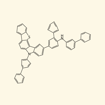 c1ccc(-c2ccc(-n3c4ccc(-c5ccc(Nc6cccc(-c7ccccc7)c6)c(-c6ccccc6)c5)cc4c4c5sc6ccccc6c5ccc43)cc2)cc1